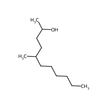 CCCCCCC(C)CCC(C)O